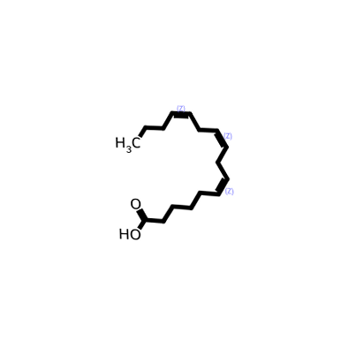 CCC/C=C\C/C=C\C/C=C\CCCCC(=O)O